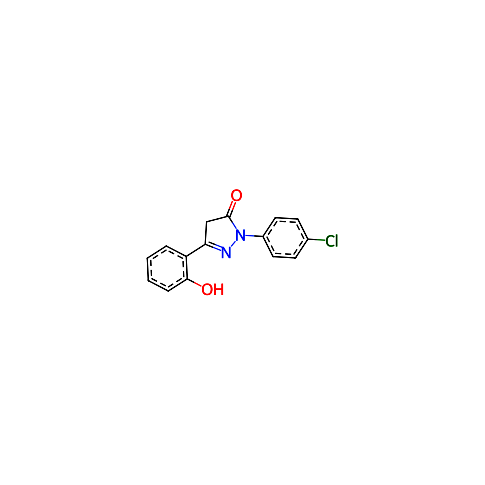 O=C1CC(c2ccccc2O)=NN1c1ccc(Cl)cc1